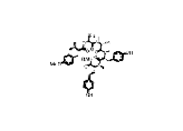 CC[C@H](C)[C@H](OC(=O)[C@H](Cc1ccc(OC)cc1)N(C)C)C(=O)N[C@@H](C(=O)N(C)[C@H](Cc1ccc(O)cc1)C(=O)N(C)[C@H](CCc1ccc(O)cc1)C(=O)OC)C(C)C